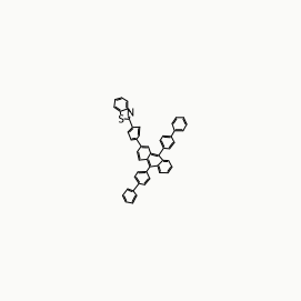 c1ccc(-c2ccc(-c3c4ccccc4c(-c4ccc(-c5ccccc5)cc4)c4cc(-c5ccc(-c6nc7ccccc7s6)cc5)ccc34)cc2)cc1